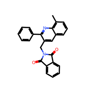 Cc1cccc2cc(CN3C(=O)c4ccccc4C3=O)c(-c3ccccc3)nc12